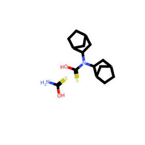 NC(O)=S.OC(=S)N(C1CC2CCC1C2)C1CC2CCC1C2